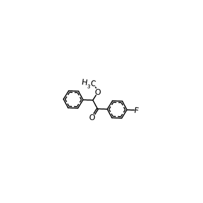 COC(C(=O)c1ccc(F)cc1)c1ccccc1